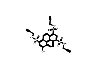 C#CCNS(=O)(=O)c1cc(O)c2ccc3c(S(=O)(=O)NCC#C)cc(S(=O)(=O)NCC#C)c4ccc1c2c34